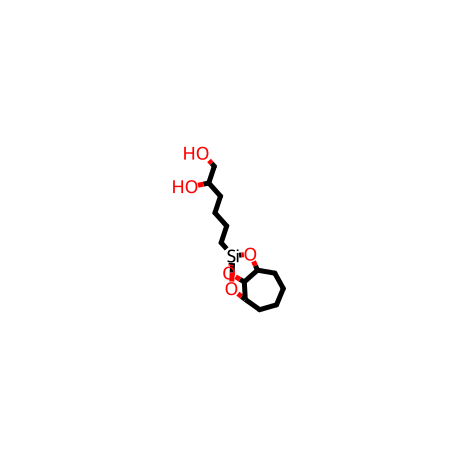 OCC(O)CCCC[Si]12OC3CCCCC(O1)C3O2